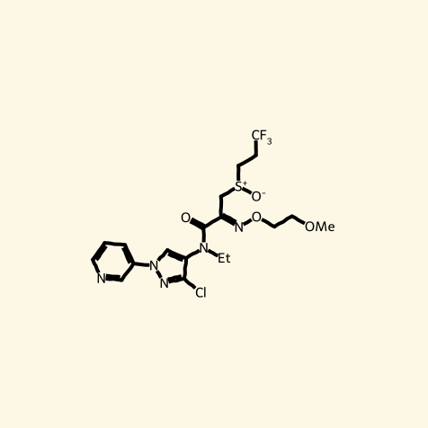 CCN(C(=O)C(C[S+]([O-])CCC(F)(F)F)=NOCCOC)c1cn(-c2cccnc2)nc1Cl